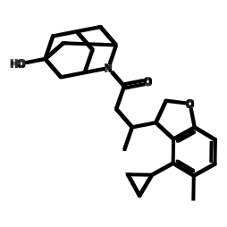 Cc1ccc2c(c1C1CC1)C(C(C)CC(=O)N1C3CC4CC1CC(O)(C4)C3)CO2